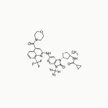 [2H]C([2H])([2H])n1c(=O)n([C@@H]2CC[C@@](C)(NC(=O)C3CC3)C2)c2cc(Nc3cc(C(=O)N4CCOCC4)c4cccc(C(F)(F)F)c4n3)ncc21